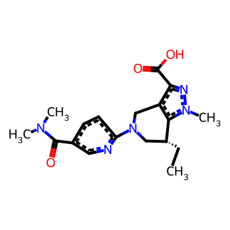 CC[C@@H]1CN(c2ccc(C(=O)N(C)C)cn2)Cc2c(C(=O)O)nn(C)c21